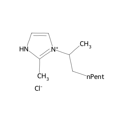 CCCCCCC(C)[n+]1cc[nH]c1C.[Cl-]